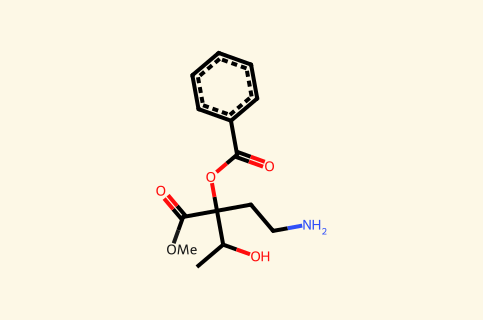 COC(=O)C(CCN)(OC(=O)c1ccccc1)C(C)O